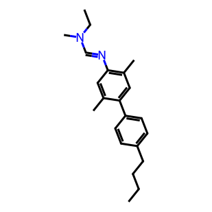 CCCCc1ccc(-c2cc(C)c(/N=C/N(C)CC)cc2C)cc1